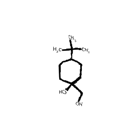 CC(C)(C)[C@H]1CC[C@](O)(CO)CC1